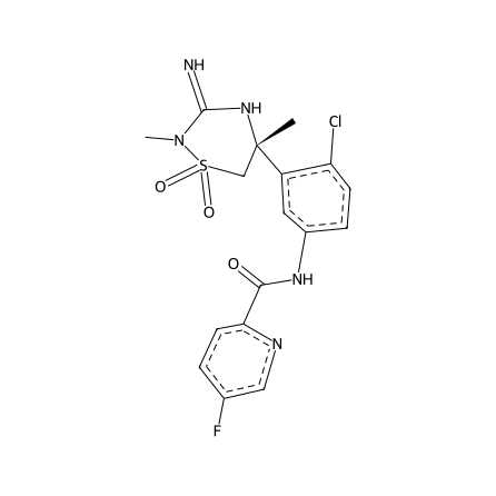 CN1C(=N)N[C@](C)(c2cc(NC(=O)c3ccc(F)cn3)ccc2Cl)CS1(=O)=O